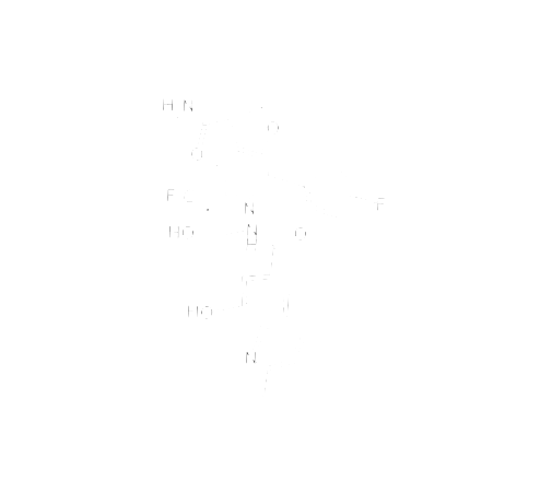 Cc1ccc2cc(C(=O)NCC(O)(c3cc4c(c(-c5ccc(F)cc5)n3)OC[C@]4(C)C(N)=O)C(F)(F)F)cc(O)c2n1